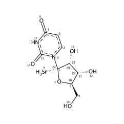 O=c1ccn([C@]2([SiH3])O[C@H](CO)[C@@H](O)[C@H]2O)c(=O)[nH]1